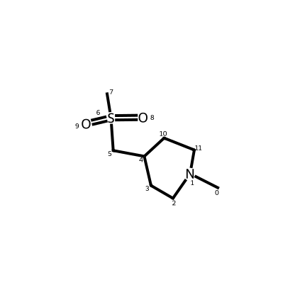 CN1CCC(CS(C)(=O)=O)CC1